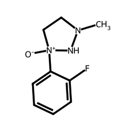 CN1CC[N+]([O-])(c2ccccc2F)N1